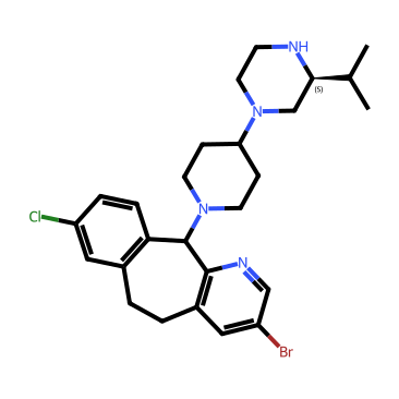 CC(C)[C@H]1CN(C2CCN(C3c4ccc(Cl)cc4CCc4cc(Br)cnc43)CC2)CCN1